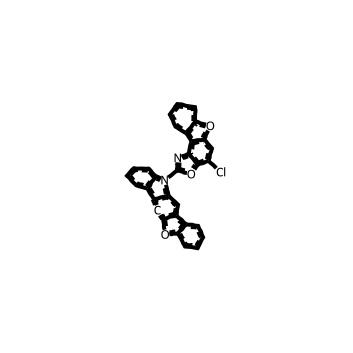 Clc1cc2oc3ccccc3c2c2nc(-n3c4ccccc4c4cc5oc6ccccc6c5cc43)oc12